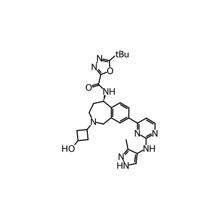 Cc1n[nH]cc1Nc1nccc(-c2ccc3c(c2)CN(C2CC(O)C2)CC[C@H]3NC(=O)c2nnc(C(C)(C)C)o2)n1